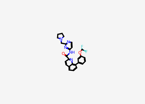 O=C(Nc1ccnc(CN2CCCC2)n1)c1ccc2cccc(-c3cccc(OC(F)F)c3)c2n1